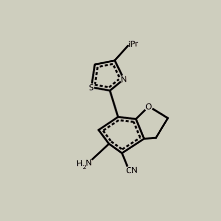 CC(C)c1csc(-c2cc(N)c(C#N)c3c2OCC3)n1